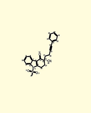 CS(=O)(=O)n1c2c(c3ccccc31)C(=O)[C@@](C#N)(CCC#Cc1ccccc1)CC2